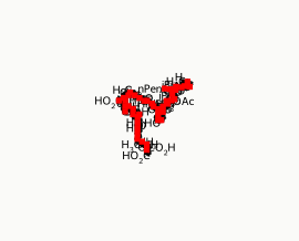 CCCCCOCN(C(=O)C(NC(=O)C1CCCCN1C)[C@@H](C)CC)[C@H](C[C@@H](OC(C)=O)c1nc(C(=O)N[C@@H](Cc2ccc(O)cc2)C[C@H](C)C(=O)NNC(=O)OCCSSC[C@@H](C)NC(=O)[C@H](CC(=O)O)NC(=O)C(CC(=O)O)NC(=O)Cc2ccc(CNC(=O)NCCCC[C@@H](C)NC(=O)N[C@@H](CCC(=O)O)C(=O)O)cc2)cs1)C(C)C